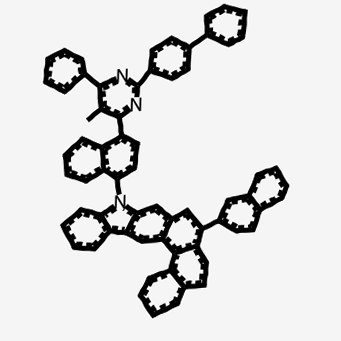 Cc1c(-c2ccccc2)nc(-c2ccc(-c3ccccc3)cc2)nc1-c1ccc(-n2c3ccccc3c3cc4c(cc(-c5ccc6ccccc6c5)c5ccc6ccccc6c54)cc32)c2ccccc12